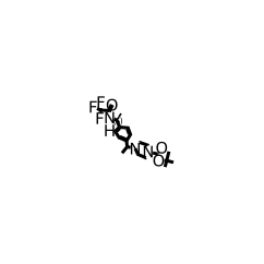 CC(c1ccc([C@H](C)NC(=O)C(F)(F)F)cc1)N1CCN(C(=O)OC(C)(C)C)CC1